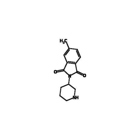 Cc1ccc2c(c1)C(=O)N(C1CCCNC1)C2=O